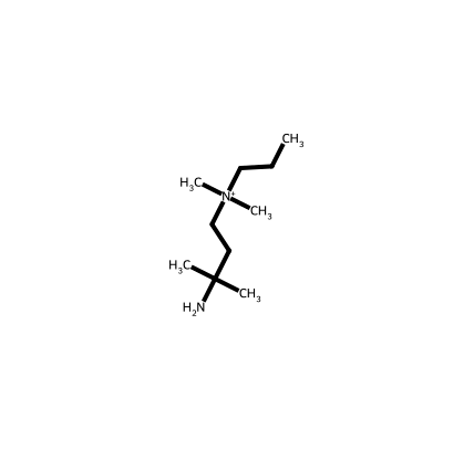 CCC[N+](C)(C)CCC(C)(C)N